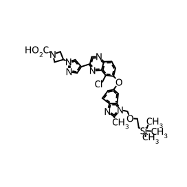 Cc1nc2ccc(Oc3ccc4ncc(-c5cnn(C6CN(C(=O)O)C6)c5)nc4c3Cl)cc2n1COCC[Si](C)(C)C